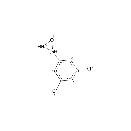 Clc1cc(Cl)cc([SH]2NO2)c1